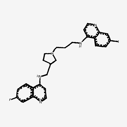 Fc1ccc2c(NCC3CCN(CCCNc4ccnc5cc(I)ccc45)C3)ccnc2c1